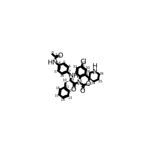 CC(=O)Nc1ccc(N[C@@H](Cc2ccccc2)C(=O)N2C(=O)O[C@]3(CCCNC3)c3cc(Cl)ccc32)cc1